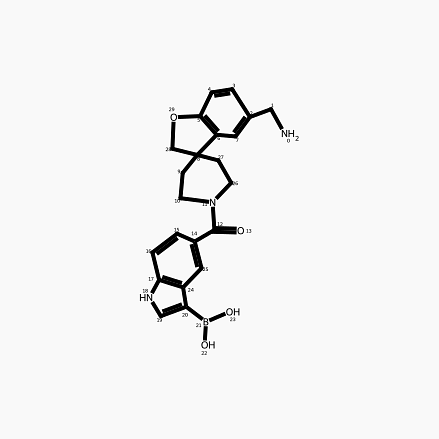 NCc1ccc2c(c1)C1(CCN(C(=O)c3ccc4[nH]cc(B(O)O)c4c3)CC1)CO2